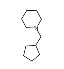 [CH]1CCN(CC2CCCC2)CC1